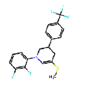 CSC1=CN(c2cccc(F)c2F)CC(c2ccc(C(F)(F)F)cc2)C1